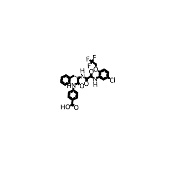 O=C(Nc1cc(Cl)ccc1OCC(F)(F)F)C(=O)N[C@@H](Cc1ccccc1)C(=O)Nc1ccc(C(=O)O)cc1